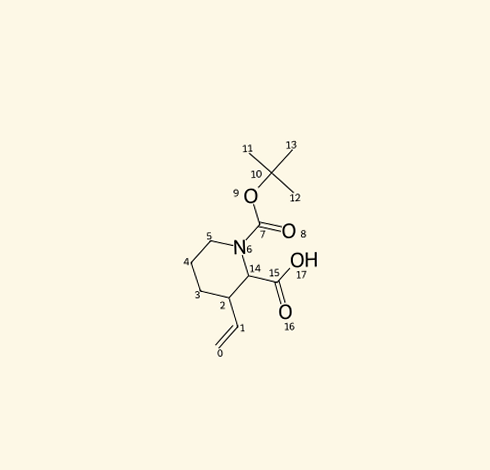 C=CC1CCCN(C(=O)OC(C)(C)C)C1C(=O)O